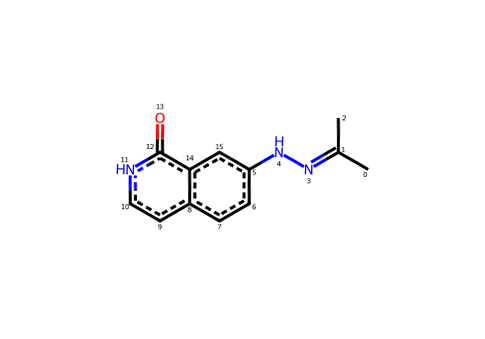 CC(C)=NNc1ccc2cc[nH]c(=O)c2c1